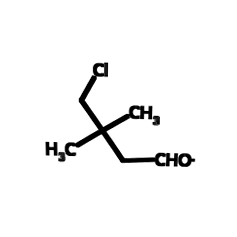 CC(C)(CCl)C[C]=O